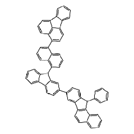 c1ccc(-n2c3ccc(-c4ccc5c6ccccc6n(-c6cccc7c(-c8ccc9c%10c(cccc8%10)-c8ccccc8-9)cccc67)c5c4)cc3c3ccc4ccccc4c32)cc1